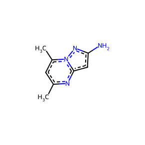 Cc1cc(C)n2nc(N)cc2n1